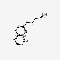 N=CC[CH]Cc1ccc2ccccc2n1